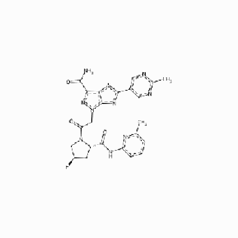 Cc1cccc(NC(=O)[C@@H]2C[C@@H](F)CN2C(=O)Cn2nc(C(N)=O)c3sc(-c4cnc(C)nc4)nc32)n1